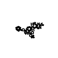 CNc1nc(SC)ncc1CNC1CCN(C(=O)OCc2ccccc2)C(NC(=O)OC(C)(C)C)C1